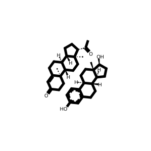 CC(=O)[C@H]1CC[C@H]2[C@@H]3CCC4=CC(=O)CC[C@]4(C)[C@H]3CC[C@]12C.C[C@]12CC[C@@H]3c4ccc(O)cc4CC[C@H]3[C@@H]1CC[C@@H]2O